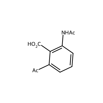 CC(=O)Nc1cccc(C(C)=O)c1C(=O)O